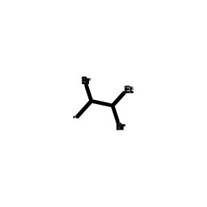 [CH2]CC(Br)C([CH2])Br